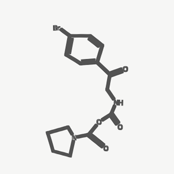 O=C(NCC(=O)c1ccc(Br)cc1)OC(=O)N1CCCC1